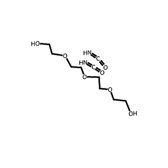 N=C=O.N=C=O.OCCOCCOCCOCCO